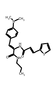 CCCNC(=O)/C(=C/c1ccc(N(C)C)cc1)NC(=O)/C=C/c1cccs1